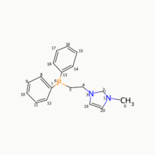 CN1[C]N(CCP(c2ccccc2)c2ccccc2)C=C1